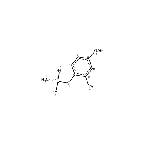 [1H][13C]([1H])(C)Sc1ccc(OC)cc1C(C)C